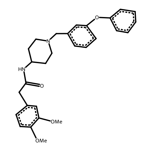 COc1ccc(CC(=O)NC2CCN(Cc3cccc(Oc4ccccc4)c3)CC2)cc1OC